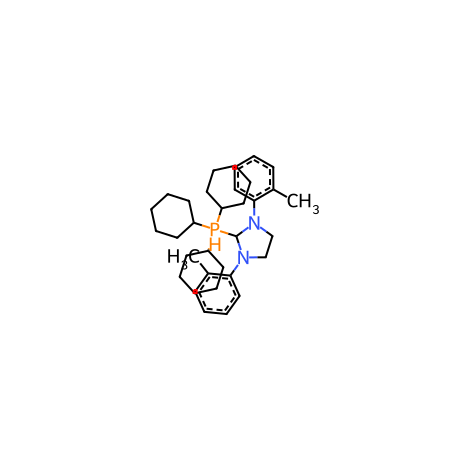 Cc1ccccc1N1CCN(c2ccccc2C)C1[PH](C1CCCCC1)(C1CCCCC1)C1CCCCC1